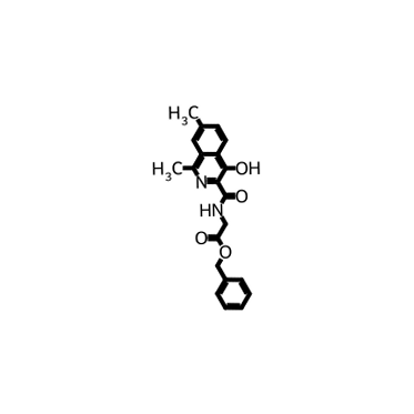 Cc1ccc2c(O)c(C(=O)NCC(=O)OCc3ccccc3)nc(C)c2c1